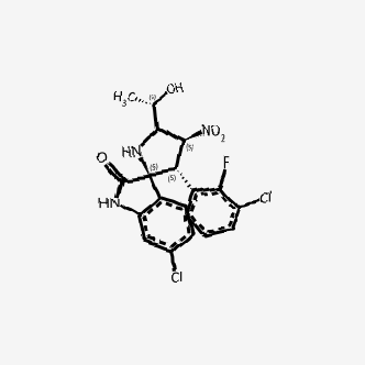 C[C@H](O)C1N[C@@]2(C(=O)Nc3cc(Cl)ccc32)[C@@H](c2cccc(Cl)c2F)[C@@H]1[N+](=O)[O-]